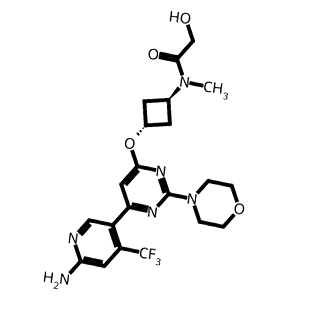 CN(C(=O)CO)[C@H]1C[C@H](Oc2cc(-c3cnc(N)cc3C(F)(F)F)nc(N3CCOCC3)n2)C1